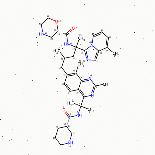 Cc1nc(C(C)(C)NC(=O)[C@H]2CCCNC2)c2ccc(CC(C)CC(C)(NC(=O)[C@@H]3CNCCO3)c3ncc4c(C)cccn34)c(C)c2n1